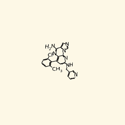 Cc1cccc(Cl)c1-c1cc(NCc2cccnc2)nc2c1nc(N)c1cncn12